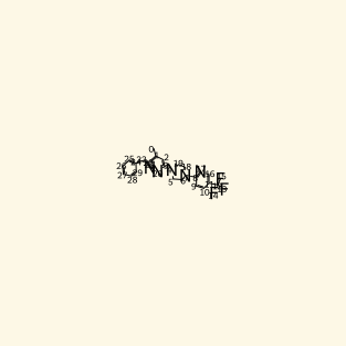 Cc1cc(N2CCN(c3ccc(C(F)(F)F)cn3)CC2)nnc1Cc1ccccc1